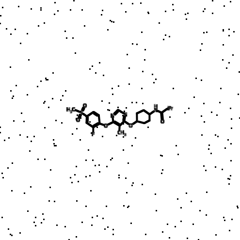 Cc1c(Oc2ccc(S(C)(=O)=O)cc2F)ncnc1OC1CCC(NC(=O)C(C)C)CC1